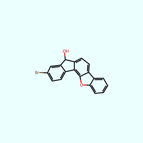 OC1c2cc(Br)ccc2-c2c1ccc1c2oc2ccccc21